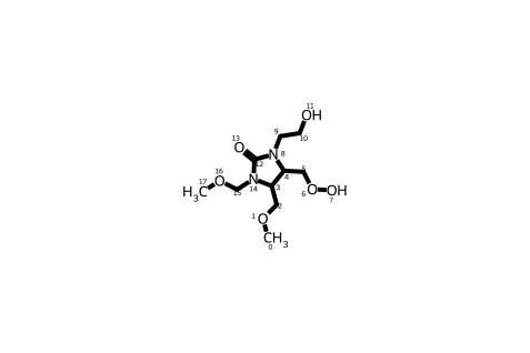 COCC1C(COO)N(CCO)C(=O)N1COC